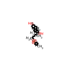 Cc1ccc(S(=O)(=O)OC[C@H](C)CCC[C@@H](C)[C@H]2[C@@H](O)C[C@H]3[C@@H]4CC=C5C[C@@H](O)CC[C@]5(C)[C@H]4CC[C@]23C)cc1